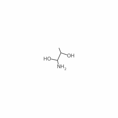 CC(O)C(N)O